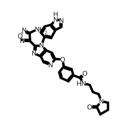 Nc1nonc1-c1nc2cnc(Oc3cccc(C(=O)NCCCN4CCCC4=O)c3)cc2n1-c1ccc2[nH]ncc2c1